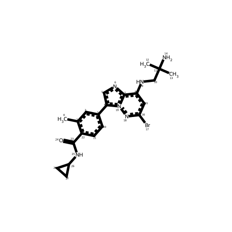 Cc1cc(-c2cnc3c(NCC(C)(C)N)cc(Br)nn23)ccc1C(=O)NC1CC1